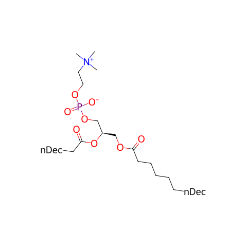 CCCCCCCCCCCCCCCC(=O)OC[C@H](COP(=O)([O-])OCC[N+](C)(C)C)OC(=O)CCCCCCCCCCC